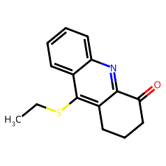 CCSc1c2c(nc3ccccc13)C(=O)CCC2